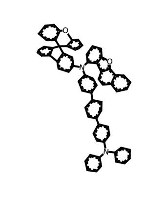 c1ccc(N(c2ccccc2)c2ccc(-c3ccc(-c4ccc(N(c5ccc6c(c5)C5(c7ccccc7Oc7ccccc75)c5ccccc5-6)c5cccc6oc7c8ccccc8ccc7c56)cc4)cc3)cc2)cc1